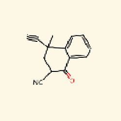 C#CC1(C)CC(C#N)C(=O)c2ccccc21